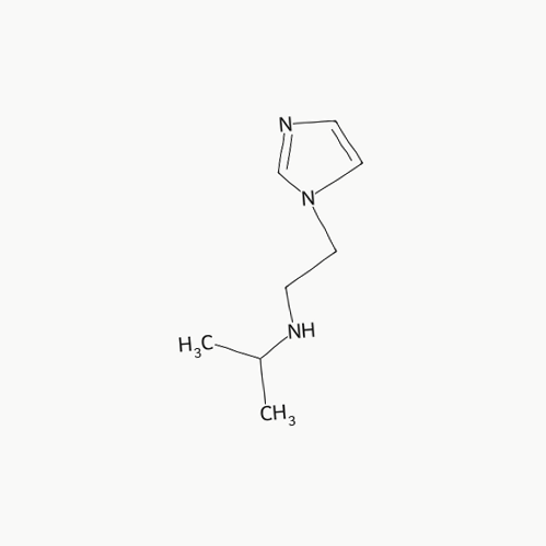 CC(C)NCCn1ccnc1